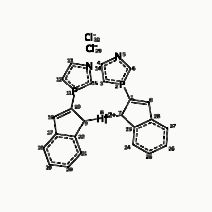 C1=C(p2ccnc2)[CH]([Hf+2][CH]2C(p3ccnc3)=Cc3ccccc32)c2ccccc21.[Cl-].[Cl-]